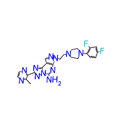 Cc1nccnc1-c1nc2c3cnn(CCN4CCN(c5ccc(F)cc5F)CC4)c3nc(N)n2n1